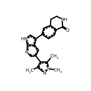 Cc1nn(C)c(C)c1-c1cnc2[nH]cc(-c3ccc4c(c3)CCNC4=O)c2c1